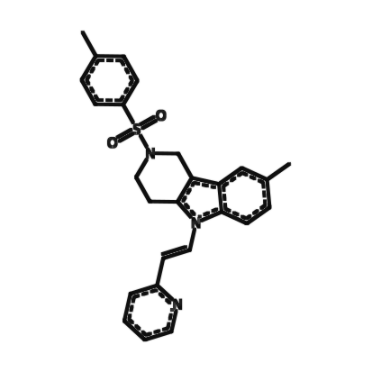 Cc1ccc(S(=O)(=O)N2CCc3c(c4cc(C)ccc4n3/C=C/c3ccccn3)C2)cc1